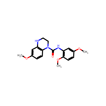 COc1ccc(OC)c(NC(=O)N2CCNc3cc(OC)ccc32)c1